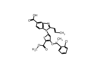 CC=Cc1nc2cc(C(=O)O)ccc2n1-c1cc(O[C@H](C)c2ccccc2Cl)c(C(=O)OC)s1